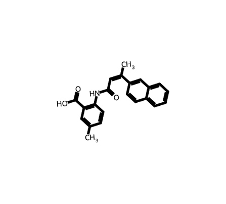 C/C(=C/C(=O)Nc1ccc(C)cc1C(=O)O)c1ccc2ccccc2c1